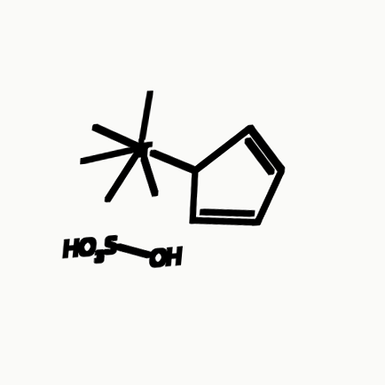 O=S(=O)(O)O.[CH3][Ir]([CH3])([CH3])([CH3])([CH3])[CH]1C=CC=C1